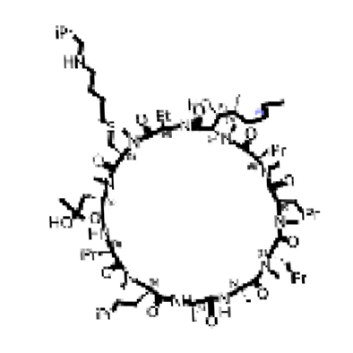 C/C=C/C[C@@H](C)[C@@H](O)[C@H]1C(=O)N[C@H](CC)C(=O)N(C)[C@H](CSCCCCNCC(C)C)C(=O)N(C)[C@@H](CC(C)(C)O)C(=O)N[C@H](C(C)C)C(=O)N(C)[C@H](CCC(C)C)C(=O)N[C@H](C)C(=O)N[C@@H](C)C(=O)N(C)[C@@H](CC(C)C)C(=O)N(C)[C@H](CC(C)C)C(=O)N(C)[C@H](C(C)C)C(=O)N1C